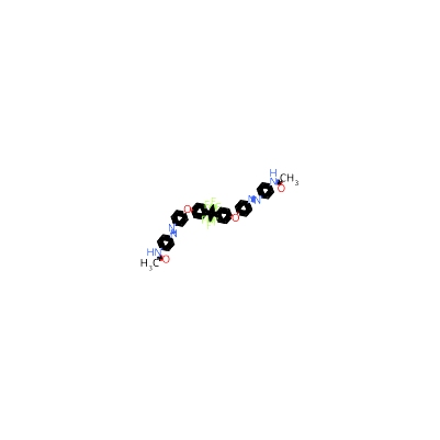 CC(=O)Nc1ccc(N=Nc2ccc(Oc3ccc(C(c4ccc(Oc5ccc(N=Nc6ccc(NC(C)=O)cc6)cc5)cc4)(C(F)(F)F)C(F)(F)F)cc3)cc2)cc1